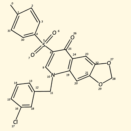 Cc1ccc(S(=O)(=O)c2cn(Cc3cccc(Cl)c3)c3cc4c(cc3c2=O)OCO4)cc1